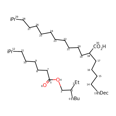 CCCCC(CC)COC(=O)CCCCCC(C)C.CCCCCCCCCCCCCCC(CCCCCCCCCCC(C)C)C(=O)O